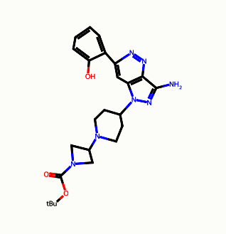 CC(C)(C)OC(=O)N1CC(N2CCC(n3nc(N)c4nnc(-c5ccccc5O)cc43)CC2)C1